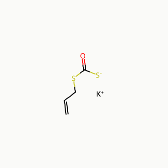 C=CCSC(=O)[S-].[K+]